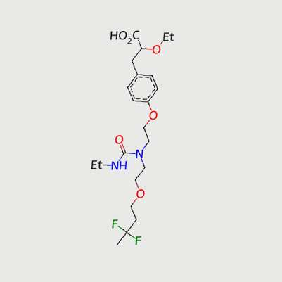 CCNC(=O)N(CCOCCC(C)(F)F)CCOc1ccc(CC(OCC)C(=O)O)cc1